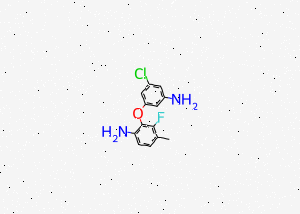 Cc1ccc(N)c(Oc2cc(N)cc(Cl)c2)c1F